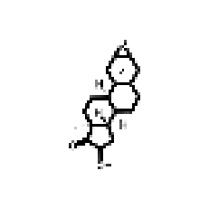 C[C@]12CC3OC3CC1CC[C@@H]1[C@H]2CC[C@]2(C)C(=O)C(O)C[C@@H]12